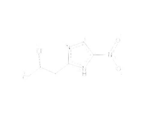 O=[N+]([O-])c1cnc(CC(Cl)Cl)[nH]1